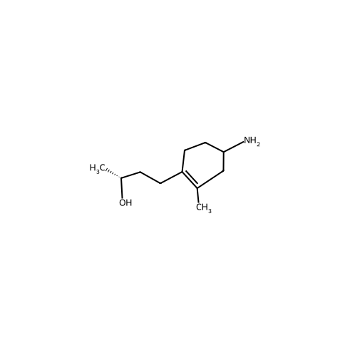 CC1=C(CC[C@@H](C)O)CCC(N)C1